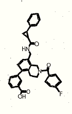 O=C(O)c1cccc(-c2ccc(CNC(=O)C3CC3c3ccccc3)c3c2CCN(C(=O)c2ccc(F)cc2)C3)c1